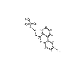 O=S(=O)(O)CCCN(Cc1ccc(F)cc1)c1ccccc1